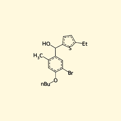 CCCCOc1cc(C)c(C(O)c2ccc(CC)s2)cc1Br